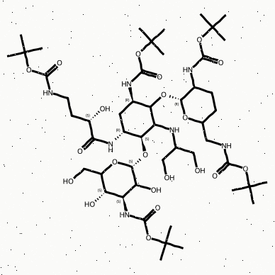 CC(C)(C)OC(=O)NCC[C@H](O)C(=O)N[C@@H]1C[C@@H](NC(=O)OC(C)(C)C)C(O[C@H]2OC(CNC(=O)OC(C)(C)C)CCC2NC(=O)OC(C)(C)C)C(NC(CO)CO)[C@H]1O[C@H]1OC(CO)[C@@H](O)[C@H](NC(=O)OC(C)(C)C)C1O